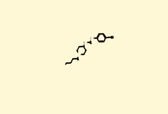 CCCCC(=O)N1CCC(NC(=O)Nc2ccc(C#N)cc2)CC1